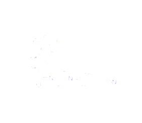 N#Cc1ccc(N2CCN(C(=O)c3ccc(C(=O)C(F)(F)F)s3)CC2)cc1